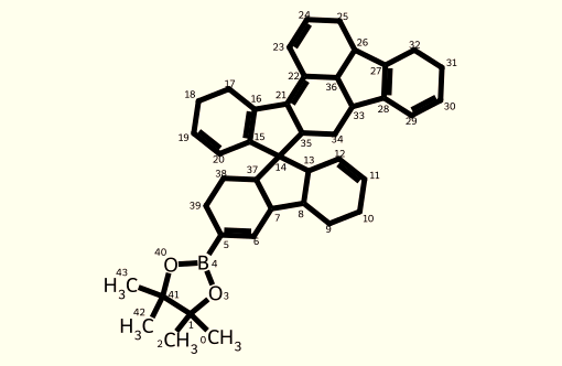 CC1(C)OB(C2=CC3C4CCC=CC4C4(C5=C(CCC=C5)C5=C6C=CCC7C8=C(C=CCC8)C(CC54)C67)C3CC2)OC1(C)C